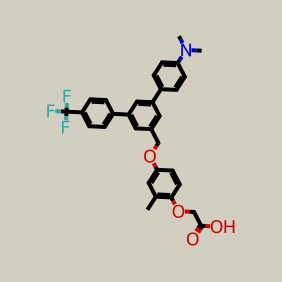 Cc1cc(OCc2cc(-c3ccc(N(C)C)cc3)cc(-c3ccc(C(F)(F)F)cc3)c2)ccc1OCC(=O)O